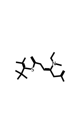 C=C(C)C/C(=C/CC(=C)SC(=C(C)C)C(C)(C)C)N(C)CC